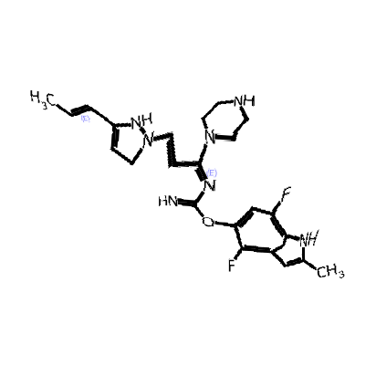 C/C=C/C1=CCN(C=C/C(=N\C(=N)Oc2cc(F)c3[nH]c(C)cc3c2F)N2CCNCC2)N1